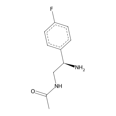 CC(=O)NC[C@H](N)c1ccc(F)cc1